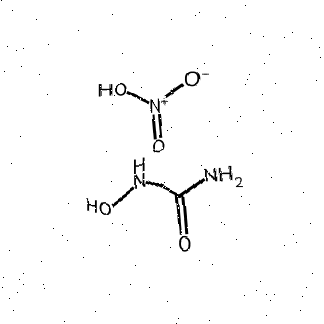 NC(=O)NO.O=[N+]([O-])O